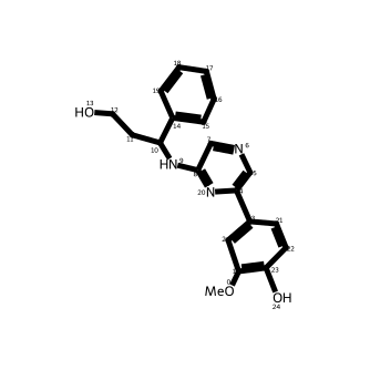 COc1cc(-c2cncc(NC(CCO)c3ccccc3)n2)ccc1O